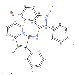 CC1=C(c2ccccc2)/C(=N/c2c(-c3ccccc3)n(C)c3ccccc23)[n+]2ccccc21.[Br-]